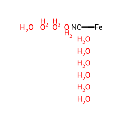 N#[C][Fe].O.O.O.O.O.O.O.O.O.O